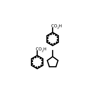 CC1CCCC1.O=C(O)c1ccccc1.O=C(O)c1ccccc1